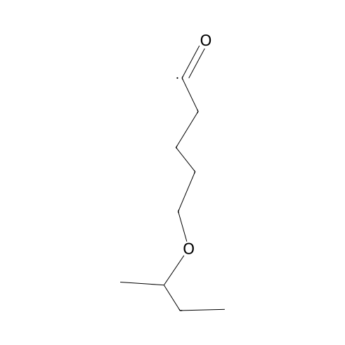 CCC(C)OCCCC[C]=O